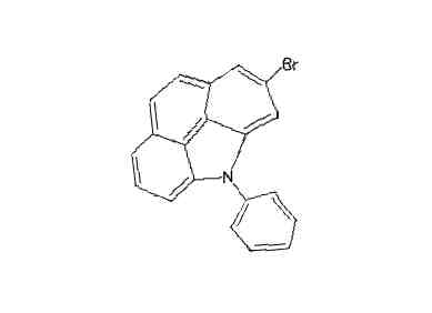 Brc1cc2ccc3cccc4c3c2c(c1)n4-c1ccccc1